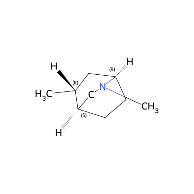 C[C@@H]1C[C@H]2CC[C@@H]1CN2C